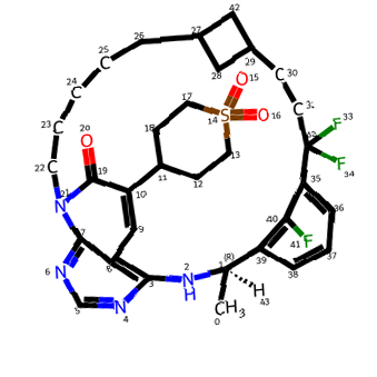 C[C@H]1Nc2ncnc3c2cc(C2CCS(=O)(=O)CC2)c(=O)n3CCCCCC2CC(CCC(F)(F)c3cccc1c3F)C2